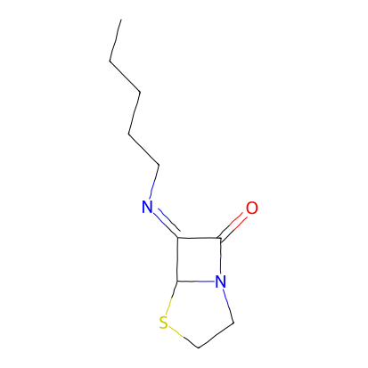 CCCCCN=C1C(=O)N2CCSC12